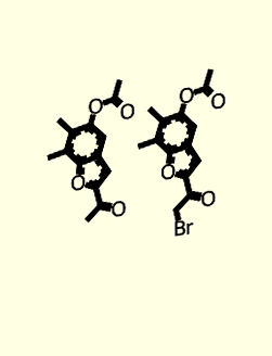 CC(=O)Oc1cc2cc(C(=O)CBr)oc2c(C)c1C.CC(=O)Oc1cc2cc(C(C)=O)oc2c(C)c1C